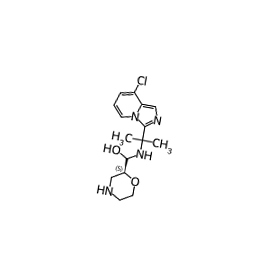 CC(C)(NC(O)[C@@H]1CNCCO1)c1ncc2c(Cl)cccn12